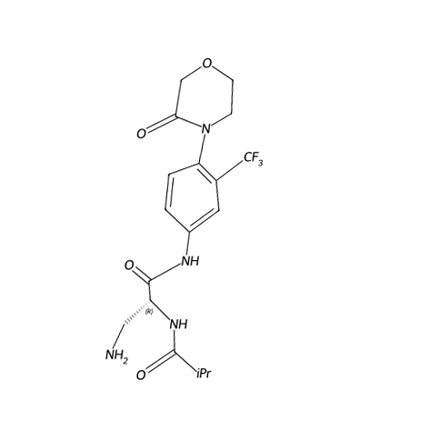 CC(C)C(=O)N[C@H](CN)C(=O)Nc1ccc(N2CCOCC2=O)c(C(F)(F)F)c1